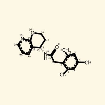 Cc1cc(Cl)cc(Cl)c1CC(=O)N[C@H]1CCOc2ncccc21